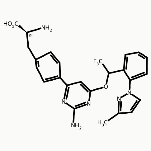 Cc1ccn(-c2ccccc2C(Oc2cc(-c3ccc(C[C@H](N)C(=O)O)cc3)nc(N)n2)C(F)(F)F)n1